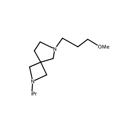 COCCCN1CCC2(C1)CN(C(C)C)C2